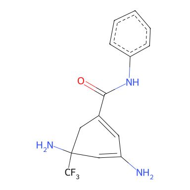 NC1=CC(N)(C(F)(F)F)CC(C(=O)Nc2ccccc2)=C1